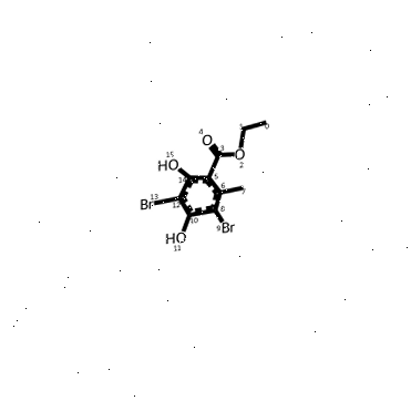 CCOC(=O)c1c(C)c(Br)c(O)c(Br)c1O